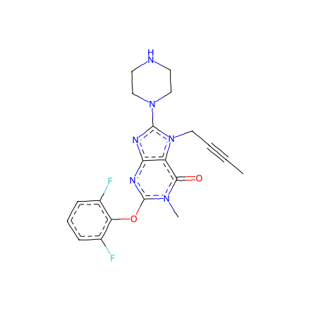 CC#CCn1c(N2CCNCC2)nc2nc(Oc3c(F)cccc3F)n(C)c(=O)c21